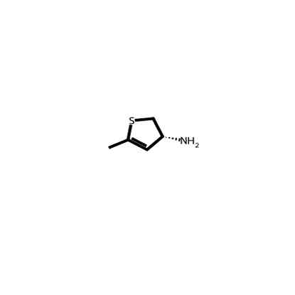 CC1=C[C@@H](N)CS1